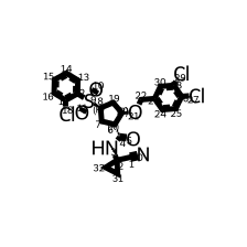 N#CC1(NC(=O)[C@@H]2C[C@@H](S(=O)(=O)c3ccccc3Cl)C[C@H]2OCc2ccc(Cl)c(Cl)c2)CC1